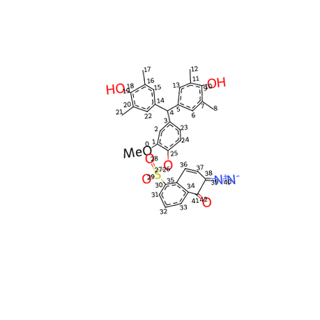 COc1cc(C(c2cc(C)c(O)c(C)c2)c2cc(C)c(O)c(C)c2)ccc1OS(=O)(=O)c1cccc2c1C=CC(=[N+]=[N-])C2=O